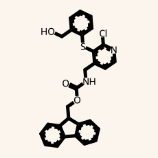 O=C(NCc1ccnc(Cl)c1Sc1ccccc1CO)OCC1c2ccccc2-c2ccccc21